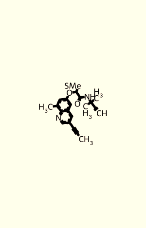 C#CC(C)(C)NC(=O)C(Oc1cc(C)c2ncc(C#CC)cc2c1)SC